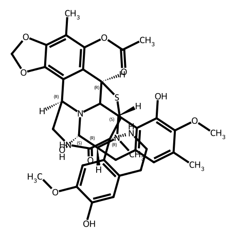 COc1cc2c(cc1O)CCN[C@]21CS[C@@H]2c3c(OC(C)=O)c(C)c4c(c3[C@H](CNC1=O)N1C2[C@@H]2c3c(cc(C)c(OC)c3O)C[C@H]([C@@H]1O)N2C)OCO4